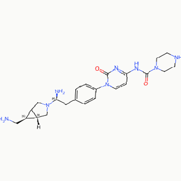 NC[C@H]1C2CN([C@@H](N)Cc3ccc(-n4ccc(NC(=O)N5CCNCC5)nc4=O)cc3)C[C@@H]21